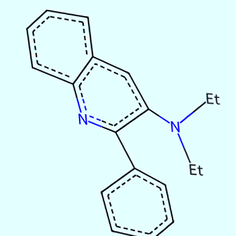 CCN(CC)c1cc2ccccc2nc1-c1ccccc1